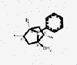 B[C@]12C[C@H](C)[C@@H](C[C@@H]1C)P2c1ccccc1